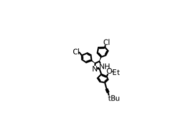 CCOc1cc(C#CC(C)(C)C)ccc1C1=N[C@@H](c2ccc(Cl)cc2)[C@@H](c2ccc(Cl)cc2)N1